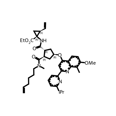 C=CCCCCN(C)C(=O)[C@@H]1C[C@H](Oc2cc(-c3cccc(C(C)C)n3)nc3c(C)c(OC)ccc23)C[C@H]1C(=O)N[C@]1(C(=O)OCC)C[C@H]1C=C